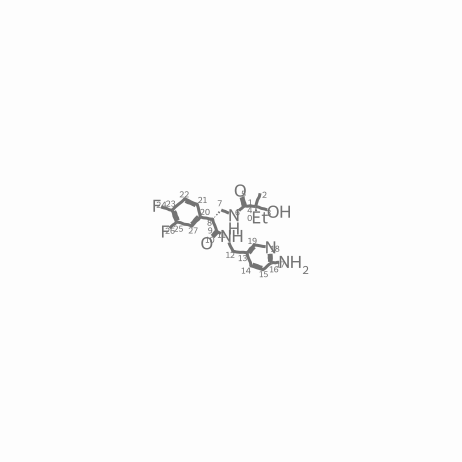 CC[C@](C)(O)C(=O)NC[C@H](C(=O)NCc1ccc(N)nc1)c1ccc(F)c(F)c1